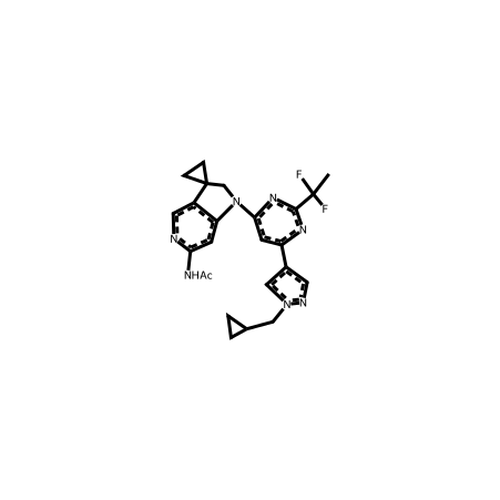 CC(=O)Nc1cc2c(cn1)C1(CC1)CN2c1cc(-c2cnn(CC3CC3)c2)nc(C(C)(F)F)n1